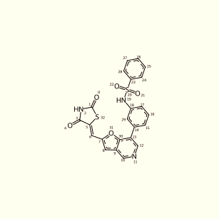 O=C1NC(=O)C(=Cc2cc3cncc(-c4cccc(NS(=O)(=O)c5ccccc5)c4)c3o2)S1